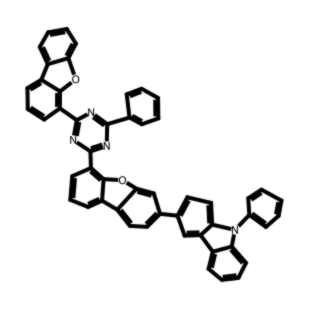 c1ccc(-c2nc(-c3cccc4c3oc3ccccc34)nc(-c3cccc4c3oc3cc(-c5ccc6c(c5)c5ccccc5n6-c5ccccc5)ccc34)n2)cc1